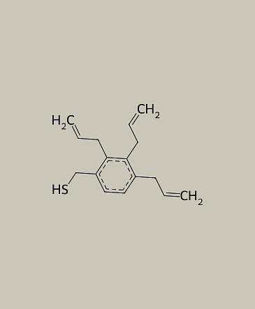 C=CCc1ccc(CS)c(CC=C)c1CC=C